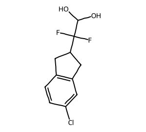 OC(O)C(F)(F)C1Cc2ccc(Cl)cc2C1